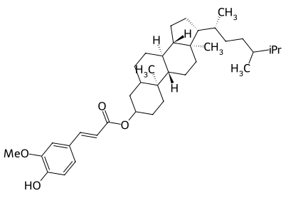 COc1cc(C=CC(=O)OC2CC[C@@]3(C)C(CC[C@H]4[C@@H]5CC[C@H]([C@H](C)CCC(C)C(C)C)[C@@]5(C)CC[C@@H]43)C2)ccc1O